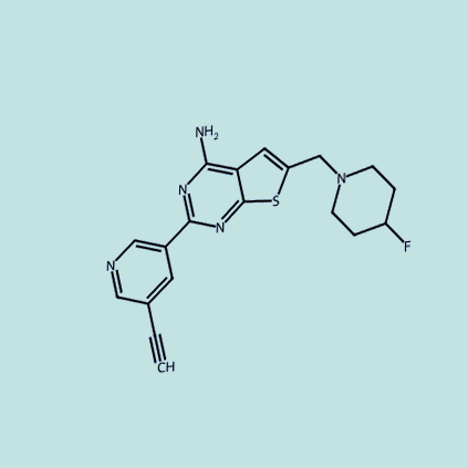 C#Cc1cncc(-c2nc(N)c3cc(CN4CCC(F)CC4)sc3n2)c1